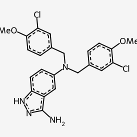 COc1ccc(CN(Cc2ccc(OC)c(Cl)c2)c2ccc3[nH]nc(N)c3c2)cc1Cl